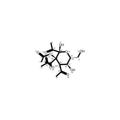 CC(=O)O[C@@]1(C(C)=O)[C@](O)(C(C)=O)O[C@H](CO)[C@@H](O)[C@@]1(OC(C)=O)C(C)=O